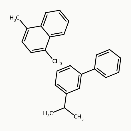 CC(C)c1cccc(-c2ccccc2)c1.Cc1ccc(C)c2ccccc12